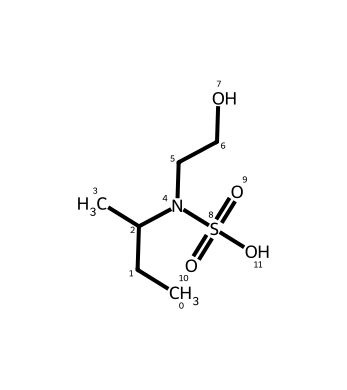 CCC(C)N(CCO)S(=O)(=O)O